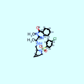 CC(NCC1C2CC2CN1S(=O)(=O)c1ccc(Cl)cc1)c1nc2ccccc2c(=O)n1C